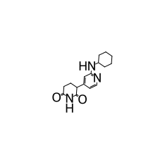 O=C1CCC(c2ccnc(NC3CCCCC3)c2)C(=O)N1